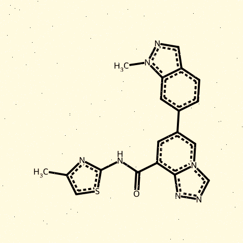 Cc1csc(NC(=O)c2cc(-c3ccc4cnn(C)c4c3)cn3cnnc23)n1